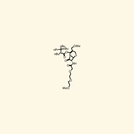 CCCCN(C(=O)OC1=C(COC)CSC2[C@H](NC(=O)COCCOCCOC)C(=O)N12)C(CCC)(CCCC)CCCC